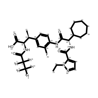 [2H]C([2H])([2H])C([2H])([2H])C(=O)N[C@@H](C(=O)O)[C@@H](C)c1ccc(NC(=O)[C@@H](NC(=O)c2ccnn2CC)C2CCCCCC2)c(F)c1